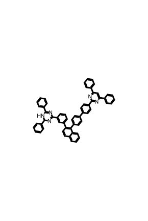 c1ccc(C2=NC(c3cccc(-c4ccc5ccccc5c4-c4ccc(-c5ccc(-c6nc(-c7ccccc7)cc(-c7ccccc7)n6)cc5)cc4)c3)=NC(c3ccccc3)N2)cc1